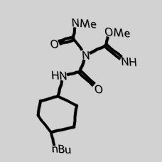 CCCCC1CCC(NC(=O)N(C(=N)OC)C(=O)NC)CC1